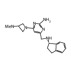 CNC1CN(c2cc(CN[C@@H]3CCc4ccccc43)nc(N)n2)C1